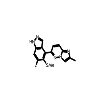 CSc1c(F)cc2[nH]ncc2c1-c1ccc2nc(C)cn2n1